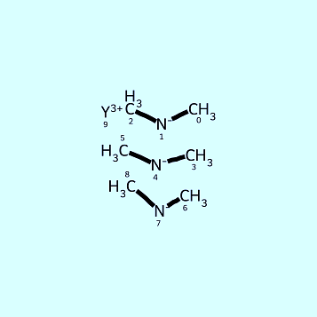 C[N-]C.C[N-]C.C[N-]C.[Y+3]